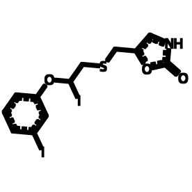 O=c1[nH]cc(CSCC(I)Oc2cccc(I)c2)o1